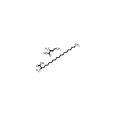 C=C(CCCCCCCCCCCCCCCCCC)C(=O)O.CC/C=C(\C)C(=O)O